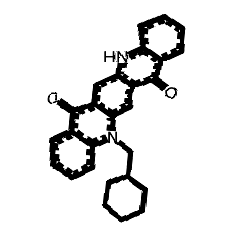 O=c1c2ccccc2[nH]c2cc3c(=O)c4ccccc4n(CC4CCCCC4)c3cc12